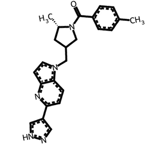 Cc1ccc(C(=O)N2CC(Cn3ccc4nc(-c5cn[nH]c5)ccc43)C[C@@H]2C)cc1